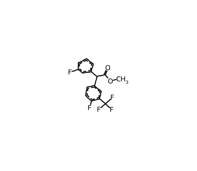 COC(=O)C(c1cccc(F)c1)c1ccc(F)c(C(F)(F)F)c1